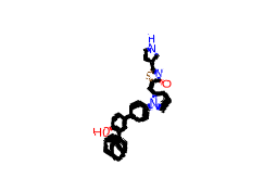 O=C1N=C(C2CCNC2)S/C1=C/c1cccn1-c1ccc(-c2ccc(O)c(C34CC5CC(CC(C5)C3)C4)c2)cc1